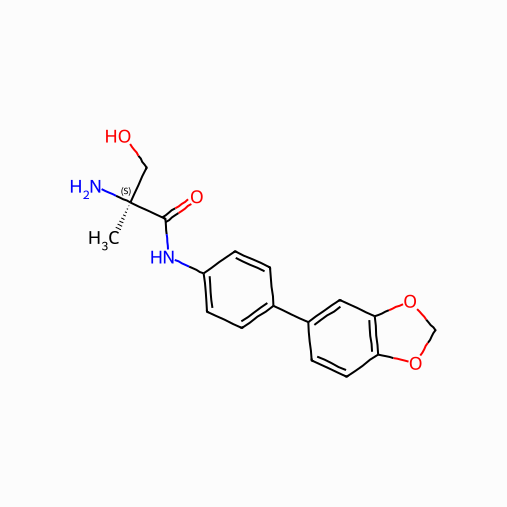 C[C@](N)(CO)C(=O)Nc1ccc(-c2ccc3c(c2)OCO3)cc1